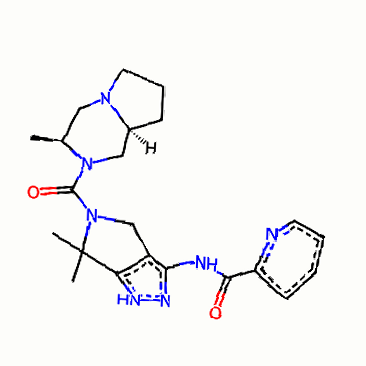 C[C@H]1CN2CCC[C@H]2CN1C(=O)N1Cc2c(NC(=O)c3ccccn3)n[nH]c2C1(C)C